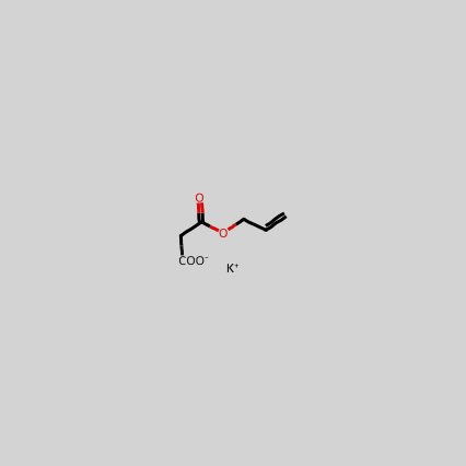 C=CCOC(=O)CC(=O)[O-].[K+]